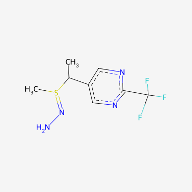 CC(c1cnc(C(F)(F)F)nc1)S(C)=NN